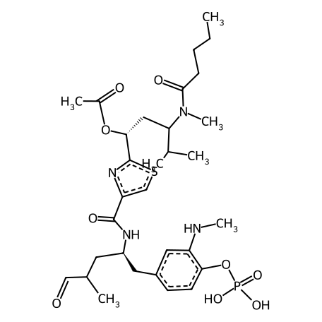 CCCCC(=O)N(C)C(C[C@@H](OC(C)=O)c1nc(C(=O)N[C@@H](Cc2ccc(OP(=O)(O)O)c(NC)c2)CC(C)C=O)cs1)C(C)C